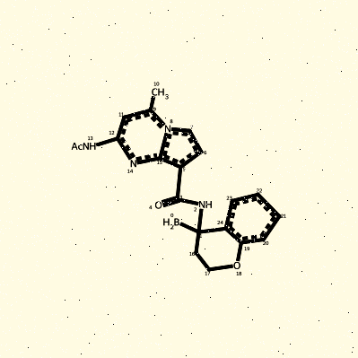 BC1(NC(=O)c2ccn3c(C)cc(NC(C)=O)nc23)CCOc2ccccc21